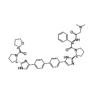 CN(C)CC(=O)N[C@@H](C(=O)N1CCC[C@H]1c1ncc(-c2ccc(-c3ccc(-c4c[nH]c([C@@H]5CCCN5C(=O)[C@H]5CCCO5)n4)cc3)cc2)[nH]1)c1ccccc1